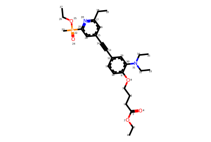 CCOC(=O)CCCOc1ccc(C#Cc2cc(CC)nc(P(C)(=O)OCC)c2)cc1N(CC)CC